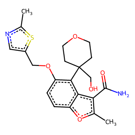 Cc1ncc(COc2ccc3oc(C)c(C(N)=O)c3c2C2(CO)CCOCC2)s1